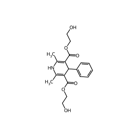 CC1=C(C(=O)OCCO)C(c2ccccc2)C(C(=O)OCCO)=C(C)N1